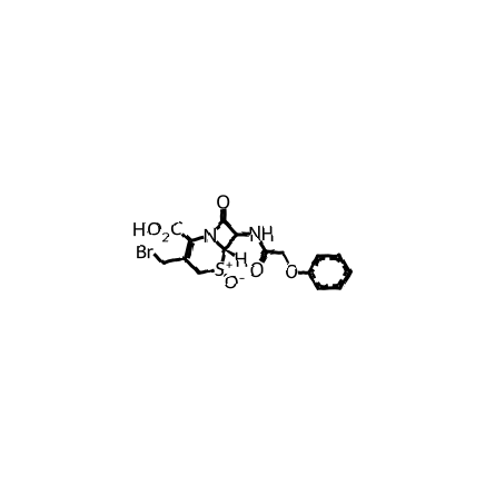 O=C(COc1ccccc1)NC1C(=O)N2C(C(=O)O)=C(CBr)C[S@+]([O-])[C@@H]12